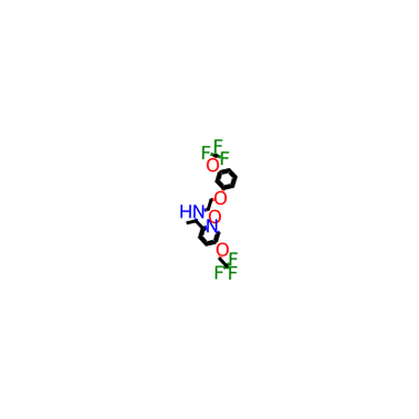 CC(NC(=O)COc1cccc(OC(F)(F)F)c1)c1ccc(OCC(F)(F)F)cn1